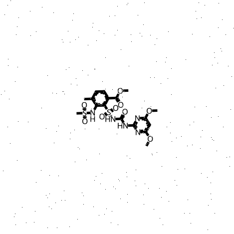 COC(=O)c1ccc(C)c(NS(C)(=O)=O)c1S(=O)(=O)NC(=O)Nc1nc(OC)cc(OC)n1